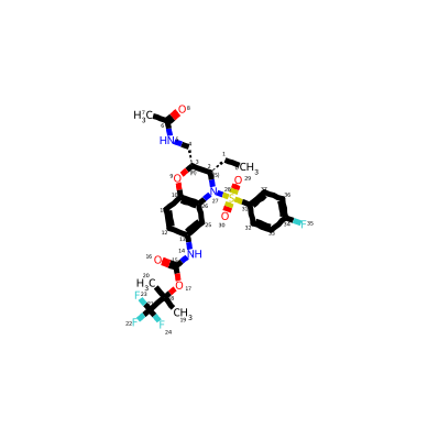 CC[C@H]1[C@@H](CNC(C)=O)Oc2ccc(NC(=O)OC(C)(C)C(F)(F)F)cc2N1S(=O)(=O)c1ccc(F)cc1